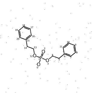 [O]P(=O)(OCCc1ccccc1)OCCc1ccccc1